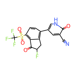 N#Cc1cc(-c2ccc(S(=O)(=O)C(F)(F)F)c3c2CC(F)C3=O)c[nH]c1=O